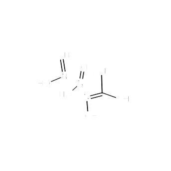 C=NO.C=NO.CC([SiH3])=NO